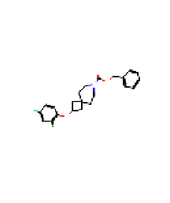 O=C(OCc1ccccc1)N1CCC2(CC1)CC(Oc1ccc(F)cc1Cl)C2